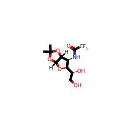 CC1(C)O[C@H]2O[C@H]([C@H](O)CO)[C@@H](NC(=O)C(F)(F)F)[C@H]2O1